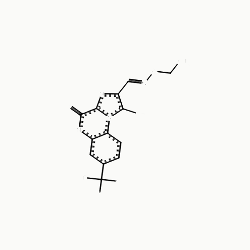 CCON=Cc1nc2c(=O)[nH]c3cc(C(F)(F)F)ccc3n2c1C